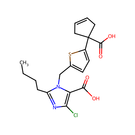 CCCCc1nc(Cl)c(C(=O)O)n1Cc1ccc(C2(C(=O)O)CC=CC2)s1